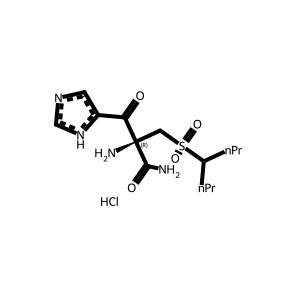 CCCC(CCC)S(=O)(=O)C[C@](N)(C(N)=O)C(=O)c1cnc[nH]1.Cl